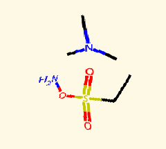 CCS(=O)(=O)ON.CN(C)C